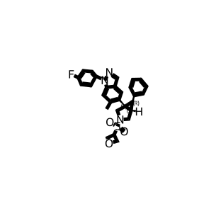 Cc1cc2c(cnn2-c2ccc(F)cc2)cc1[C@]12CN(S(=O)(=O)C3COC3)C[C@H]1[C@@H]2c1ccccc1